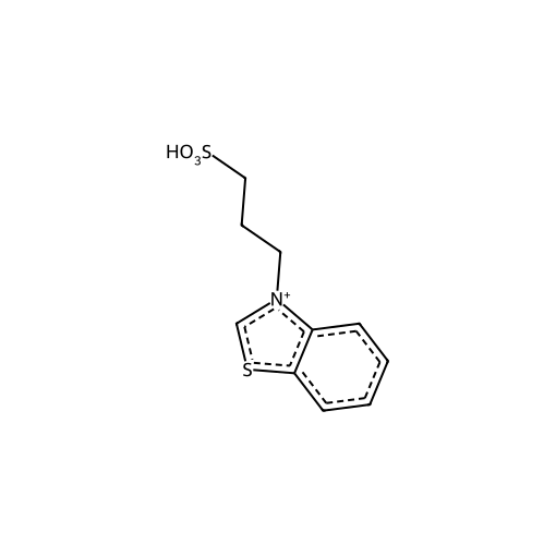 O=S(=O)(O)CCC[n+]1csc2ccccc21